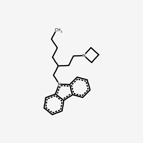 CCCCC(CCN1CCC1)Cn1c2ccccc2c2ccccc21